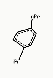 CC[CH]c1ccc(C(C)C)cc1